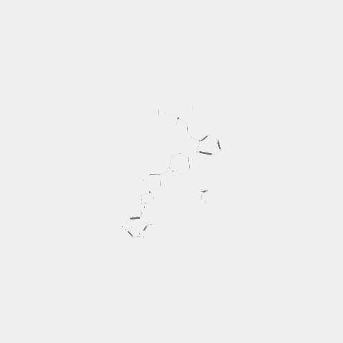 Cc1ncncc1N1CC2(CCC(N3CCC(c4ccccc4OCC(C)(C)O)CC3)C2)C1.O=CO